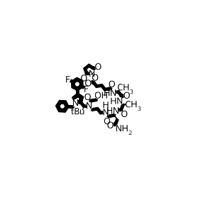 C[C@H](NC(=O)CCCC(=O)ON1C(=O)CCC1=O)C(=O)N[C@@H](C)C(=O)N[C@@H](CC(N)=O)C(=O)NCCCN(C(=O)CO)[C@@H](c1cc(-c2cc(F)ccc2F)cn1Cc1ccccc1)C(C)(C)C